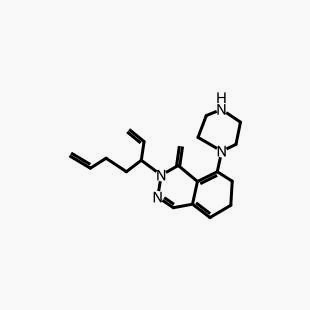 C=CCCC(C=C)N1N=CC2=CCCC(N3CCNCC3)=C2C1=C